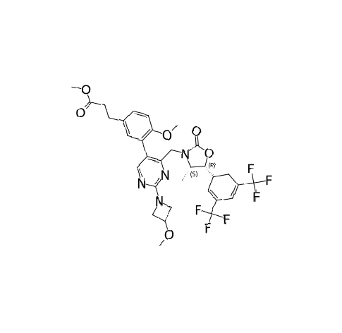 COC(=O)CCc1ccc(OC)c(-c2cnc(N3CC(OC)C3)nc2CN2C(=O)O[C@H](C3C=C(C(F)(F)F)C=C(C(F)(F)F)C3)[C@@H]2C)c1